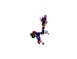 C=CC(=O)N1CCN(c2nc(NCCC(=O)N(C)CCOCCOc3ccc4c(c3)C(=O)N(C3CCC(=O)NC3=O)C4=O)nc3c(F)c(-c4c(O)cccc4F)c(Cl)cc23)CC1